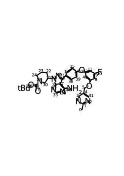 Cc1ncc(COc2cc(F)cc(Oc3ccc(-c4nn([C@@H]5CCCN(C(=O)OC(C)(C)C)C5)c5ncnc(N)c45)cc3)c2)cn1